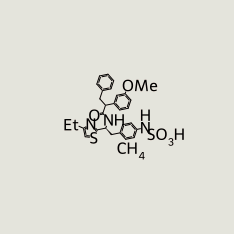 C.CCc1csc([C@H](Cc2ccc(NS(=O)(=O)O)cc2)NC(=O)C(Cc2ccccc2)c2cccc(OC)c2)n1